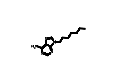 CCCCCCCn1cnc2c(N)ncnc21